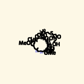 COc1cc2cc(c1Cl)NC(=O)C[C@H](OC(=O)[C@H](C)N(C)C(=O)CCSC1CC(=O)N(CCO)C1=O)[C@]1(C)O[C@H]1[C@H](C)[C@@H]1C[C@@](O)(NC(=O)O1)[C@H](OC)/C=C/C=C(\C)C2